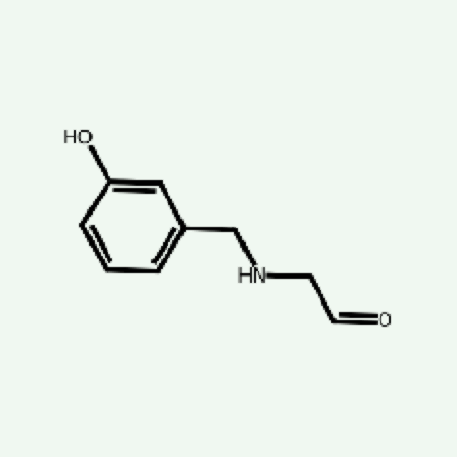 O=CCNCc1cccc(O)c1